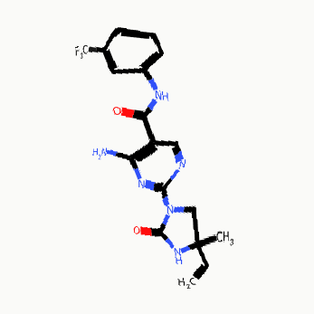 C=CC1(C)CN(c2ncc(C(=O)Nc3cccc(C(F)(F)F)c3)c(N)n2)C(=O)N1